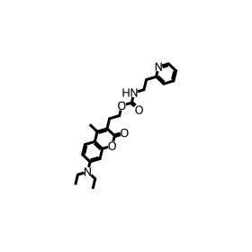 CCN(CC)c1ccc2c(C)c(CCOC(=O)NCCc3ccccn3)c(=O)oc2c1